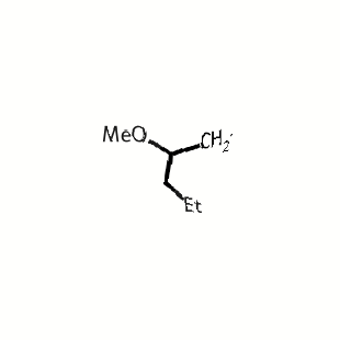 [CH2]C(CCC)OC